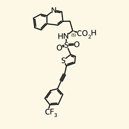 O=C(O)[C@H](Cc1cnc2ccccc2c1)NS(=O)(=O)c1ccc(C#Cc2ccc(C(F)(F)F)cc2)s1